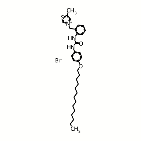 CCCCCCCCCCCCCCOc1ccc(NC(=O)Nc2ccccc2C[n+]2csc(C)c2)cc1.[Br-]